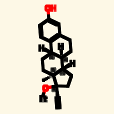 C#C[C@]1(OCC)CC[C@H]2[C@@H]3CCc4cc(O)ccc4[C@H]3CC[C@@]21C